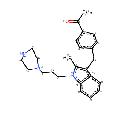 COC(=O)c1ccc(Cc2c(C)n(CCCN3CCNCC3)c3ccccc23)cc1